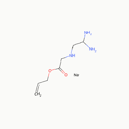 C=CCOC(=O)CNCC(N)N.[Na]